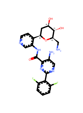 NC[C@H]1O[C@@H](c2ccncc2NC(=O)c2nc(-c3c(F)cccc3F)ncc2N)C[C@@H](O)[C@@H]1O